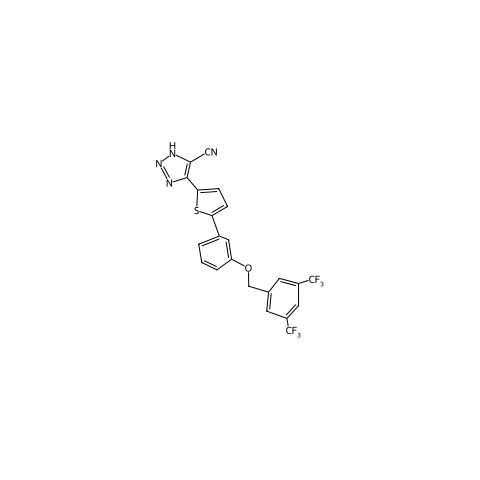 N#Cc1[nH]nnc1-c1ccc(-c2cccc(OCc3cc(C(F)(F)F)cc(C(F)(F)F)c3)c2)s1